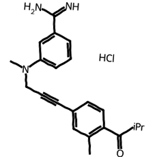 Cc1cc(C#CCN(C)c2cccc(C(=N)N)c2)ccc1C(=O)C(C)C.Cl